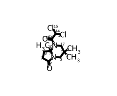 CC1(C)CN2C(=O)CCC2(C)N(C(=O)C(Cl)Cl)C1